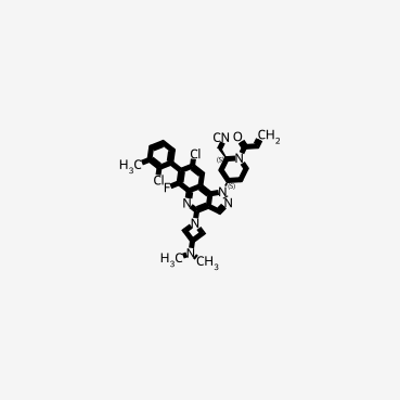 C=CC(=O)N1CC[C@H](n2ncc3c(N4CC(N(C)C)C4)nc4c(F)c(-c5cccc(C)c5Cl)c(Cl)cc4c32)C[C@H]1CC#N